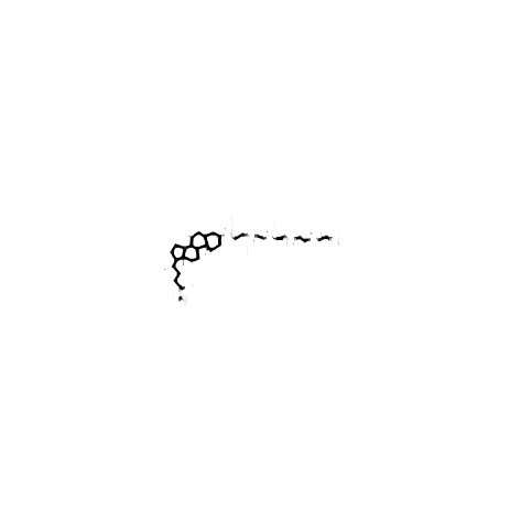 CC(C)OC(=O)CC[C@@H](C)C1CCC2C3C(C[C@H](O)[C@@]21C)[C@@]1(C)CC[C@H](NCCNCCNCCNCCNCCN)CC1C[C@H]3O